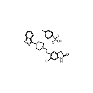 Cc1ccc(S(=O)(=O)O)cc1.O=C1Cc2cc(CCN3CCN(c4nsc5ccccc45)CC3)c(Cl)cc2N1